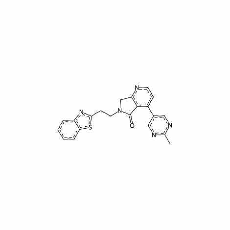 Cc1ncc(-c2ccnc3c2C(=O)N(CCc2nc4ccccc4s2)C3)cn1